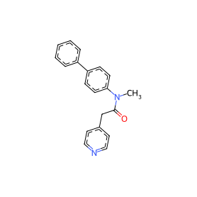 CN(C(=O)Cc1ccncc1)c1ccc(-c2ccccc2)cc1